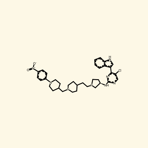 O=[N+]([O-])c1ccc(N2CCC(CN3CCC(CCN4CC[C@@H](Nc5ncc(Cl)c(-c6c[nH]c7ccccc67)n5)C4)CC3)CC2)cc1